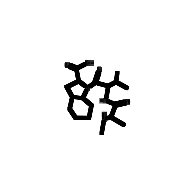 CNC(C)C(=O)NC(C(=O)N1C(C(=O)O)CC2CCCCC21)C(C)C